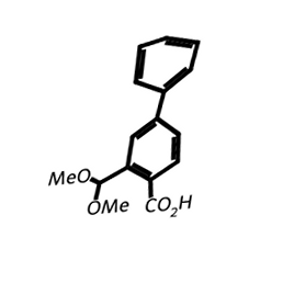 COC(OC)c1cc(-c2ccccc2)ccc1C(=O)O